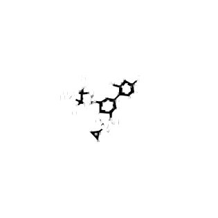 CC1(C)OB(c2cc(NS(=O)(=O)C3CC3)cc(-c3ccc(F)cc3F)c2)OC1(C)C